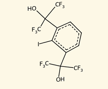 OC(c1cccc(C(O)(C(F)(F)F)C(F)(F)F)c1I)(C(F)(F)F)C(F)(F)F